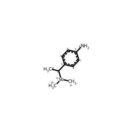 C[CH](c1ccc(N)cc1)[Sb]([CH3])[CH3]